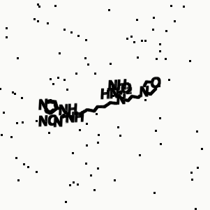 N#CN=C(NCCCCCCCCN(CCCN1CCOCC1)C(=O)NN)Nc1ccncc1